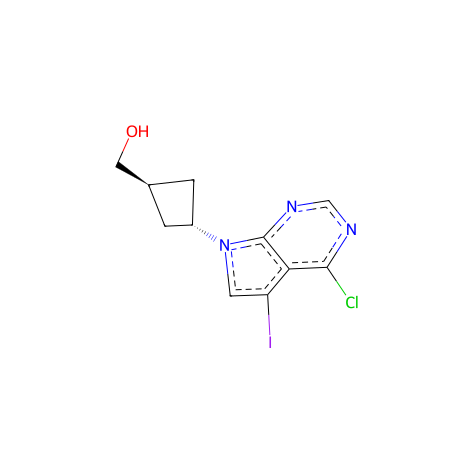 OC[C@H]1C[C@H](n2cc(I)c3c(Cl)ncnc32)C1